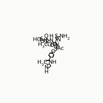 C/C=C(\N[C@@H]1CCNC1)c1ccc(OC[C@H](O/N=C(\C(=O)N[C@@H]2C(=O)N(OSO)C2(C)C)c2csc(N)n2)C(C)=O)cc1